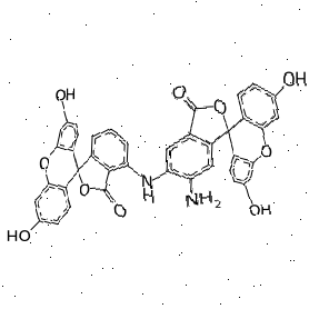 Nc1cc2c(cc1Nc1cccc3c1C(=O)OC31c3ccc(O)cc3Oc3cc(O)ccc31)C(=O)OC21c2ccc(O)cc2Oc2cc(O)ccc21